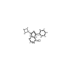 Clc1nccn2c(C3CCC3)nc(-c3ccccc3)c12